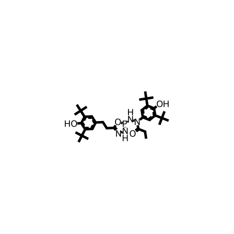 CCC(=O)N(NP1NN=C(CCc2cc(C(C)(C)C)c(O)c(C(C)(C)C)c2)O1)c1cc(C(C)(C)C)c(O)c(C(C)(C)C)c1